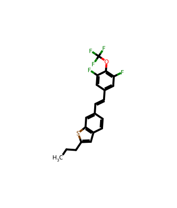 CCCc1cc2ccc(/C=C/c3cc(F)c(OC(F)(F)F)c(F)c3)cc2s1